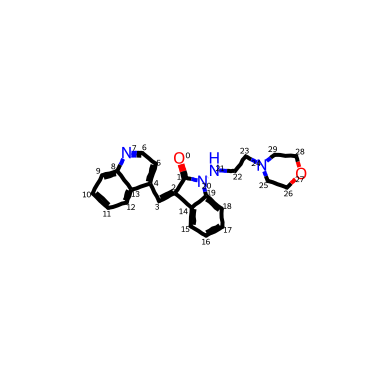 O=C1C(=Cc2ccnc3ccccc23)c2ccccc2N1NCCN1CCOCC1